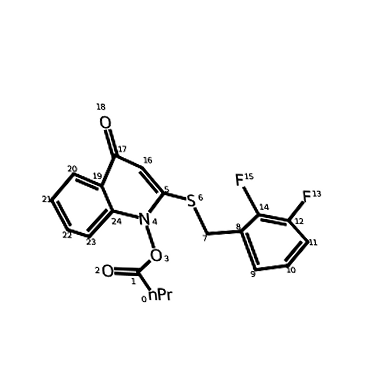 CCCC(=O)On1c(SCc2cccc(F)c2F)cc(=O)c2ccccc21